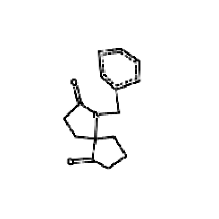 O=C1CCC2(CCCC2=O)N1Cc1ccccc1